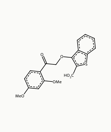 COc1ccc(C(=O)COc2c(C(=O)O)sc3ccccc23)c(OC)c1